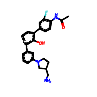 CC(=O)Nc1ccc(-c2cccc(-c3cccc(N4CCC(CN)C4)c3)c2O)cc1F